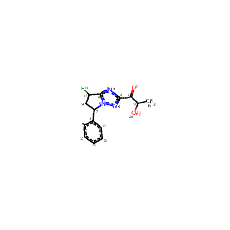 O=C(c1nc2n(n1)C(c1ccccc1)CC2F)C(O)C(F)(F)F